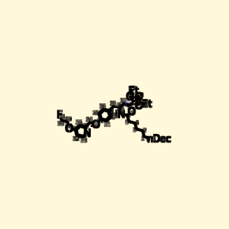 CCCCCCCCCCCCCCCC(=O)N[C@H](/C=C/P(=O)(OCC)OCC)Cc1ccc(OCc2cc(OCCF)ccn2)cc1